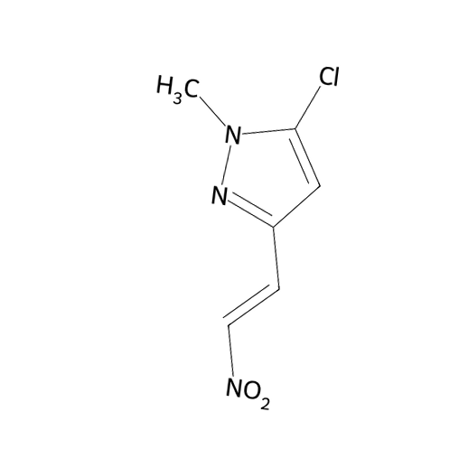 Cn1nc(/C=C/[N+](=O)[O-])cc1Cl